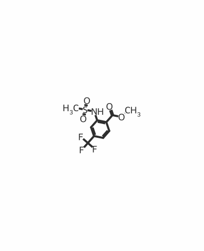 COC(=O)c1ccc(C(F)(F)F)cc1NS(C)(=O)=O